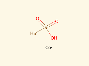 O=S(=O)(O)S.[Co]